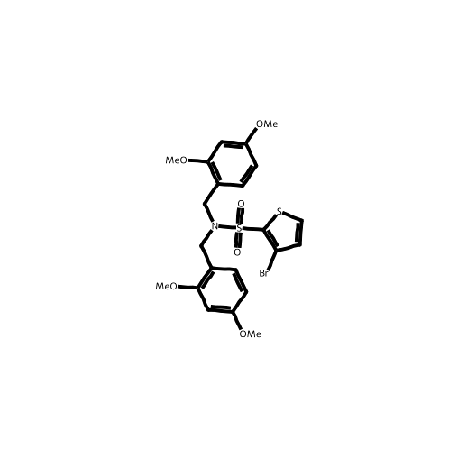 COc1ccc(CN(Cc2ccc(OC)cc2OC)S(=O)(=O)c2sccc2Br)c(OC)c1